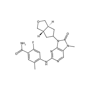 Cc1cc(C(N)=O)c(F)cc1Nc1ncc2c(n1)n(C1C[C@@H]3COC[C@H]3C1)c(=O)n2C